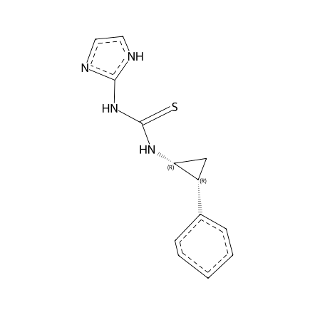 S=C(Nc1ncc[nH]1)N[C@@H]1C[C@@H]1c1ccccc1